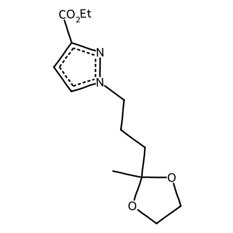 CCOC(=O)c1ccn(CCCC2(C)OCCO2)n1